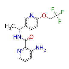 CC(NC(=O)c1ncccc1N)c1ccc(OCC(F)(F)F)nc1